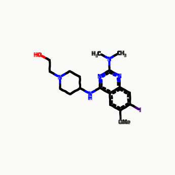 COc1cc2c(NC3CCN(CCO)CC3)nc(N(C)C)nc2cc1I